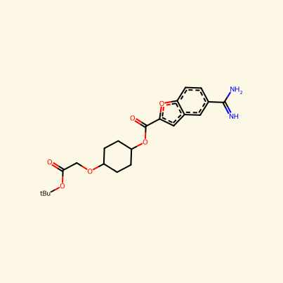 CC(C)(C)OC(=O)COC1CCC(OC(=O)c2cc3cc(C(=N)N)ccc3o2)CC1